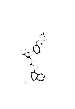 COc1ccc(NC(=O)Nc2cc(C(C)(C)C)nn2-c2cccc(CN3CC(=O)NS3(=O)=O)c2)c2ccccc12